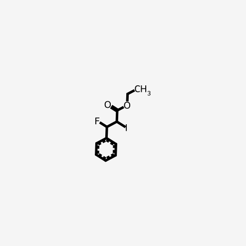 CCOC(=O)C(I)C(F)c1ccccc1